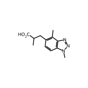 Cc1c(CC(C)C(=O)O)ccc2c1nnn2C